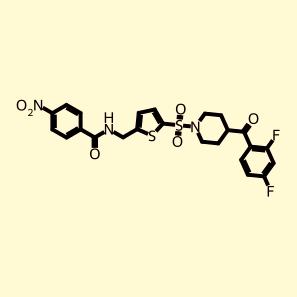 O=C(NCc1ccc(S(=O)(=O)N2CCC(C(=O)c3ccc(F)cc3F)CC2)s1)c1ccc([N+](=O)[O-])cc1